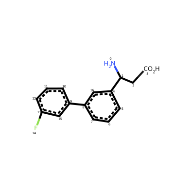 NC(CC(=O)O)c1cccc(-c2cccc(F)c2)c1